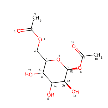 CC(=O)OCC1O[C@@H](OC(C)=O)[C@@H](O)C(O)[C@@H]1O